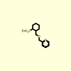 CCOC(=O)C1CCCCC1COCc1ccccn1